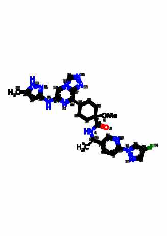 CO[C@]1(C(=O)N[C@@H](C)c2ccc(-n3cc(F)cn3)nc2)CC[C@H](c2nc(Nc3cc(C)[nH]n3)cn3cnnc23)CC1